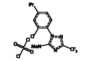 CNc1nc(C(F)(F)F)nn1-c1ccc(C(C)C)cc1Cl.O=S(=O)(Cl)Cl